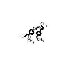 CCOC(CCO)c1ccc(OCCn2c(C)ccc2-c2ccc(SC)cc2)cc1